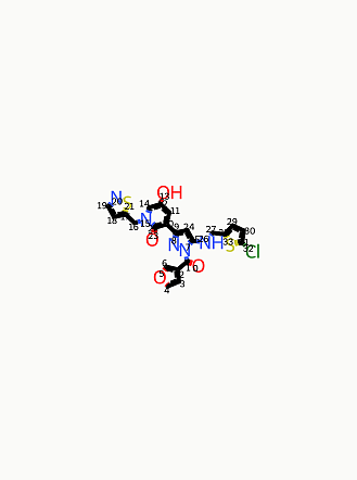 O=C(c1ccoc1)n1nc(-c2cc(O)cn(Cc3ccns3)c2=O)cc1NCc1ccc(Cl)s1